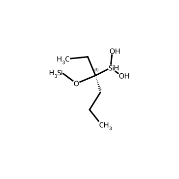 CCC[C@@](CC)(O[SiH3])[SiH](O)O